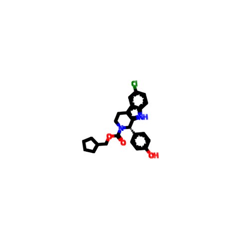 O=C(OCC1CCCC1)N1CCc2c([nH]c3ccc(Cl)cc23)[C@@H]1c1ccc(O)cc1